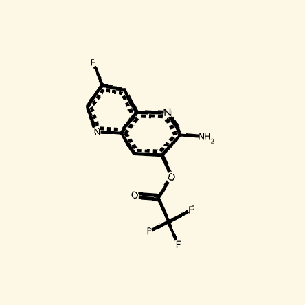 Nc1nc2cc(F)cnc2cc1OC(=O)C(F)(F)F